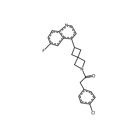 O=C(Cc1ccc(Cl)cc1)N1CC2(CC(c3ccnc4ccc(F)cc34)C2)C1